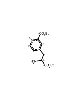 CCOC(=O)c1cc(C[C@H](N)C(=O)OCC)ccn1